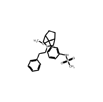 COC1(c2cccc(NS(C)(=O)=O)c2)C2CCC1CN(CCc1ccccc1)C2